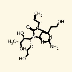 C=CCn1c(=O)n([C@H](OCCO)[C@H](O)[C@@H](C)O)c2nc(N)nc(CCO)c21